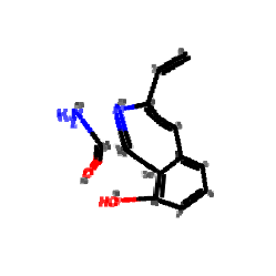 C=Cc1cc2cccc(O)c2cn1.NC=O